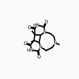 CN1CCN2C(=O)NC(=O)C3(C)C2C2N(CC1)C(=O)NC(=O)C23C